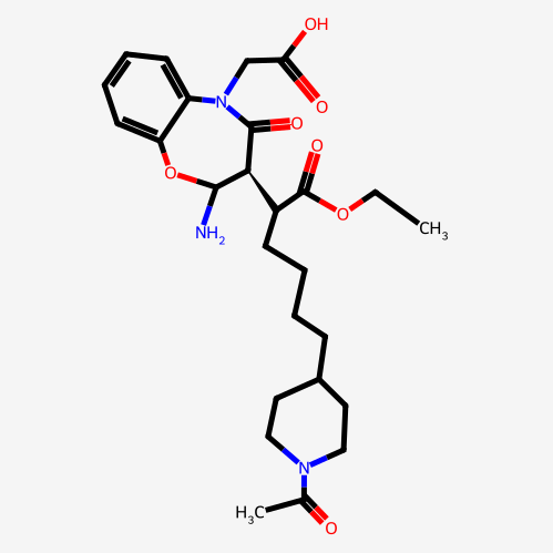 CCOC(=O)C(CCCCC1CCN(C(C)=O)CC1)[C@@H]1C(=O)N(CC(=O)O)c2ccccc2OC1N